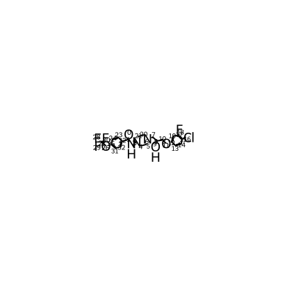 O=C(NN1CCN(C[C@@H](O)COc2ccc(Cl)c(F)c2)CC1)c1ccc(OC(F)(F)F)cc1